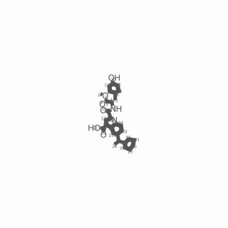 COC(=O)[C@H](Cc1ccc(O)cc1)NC(=O)c1cc(C(=O)O)c2cc(C(C)c3ccccc3)ccc2n1